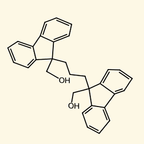 OCC1(CCCC2(CO)c3ccccc3-c3ccccc32)c2ccccc2-c2ccccc21